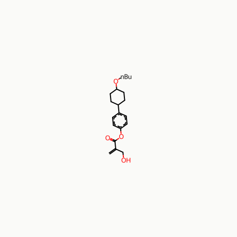 C=C(CO)C(=O)Oc1ccc(C2CCC(OCCCC)CC2)cc1